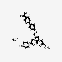 COC(=O)C[C@@H]1C[C@@H](COc2ccc(-c3ncc(C(=N)N)cn3)cc2)N(CC(=O)N2CC[S+]([O-])CC2)C1=O.Cl